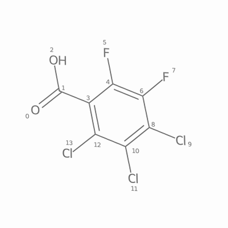 O=C(O)c1c(F)c(F)c(Cl)c(Cl)c1Cl